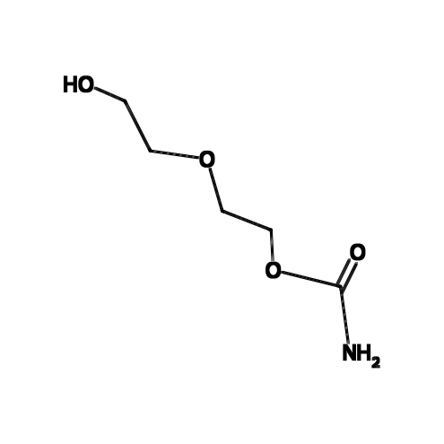 NC(=O)OCCOCCO